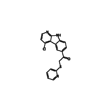 O=C(CSc1ccccn1)c1ccc2[nH]c3nccc(Cl)c3c2c1